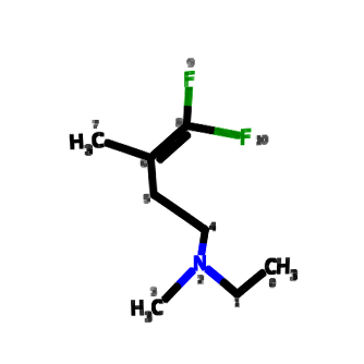 CCN(C)CCC(C)=C(F)F